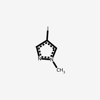 Cn1cc(I)[c]n1